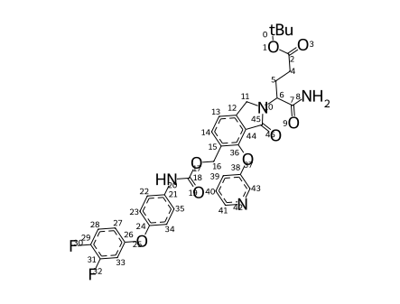 CC(C)(C)OC(=O)CCC(C(N)=O)N1Cc2ccc(COC(=O)Nc3ccc(Oc4ccc(F)c(F)c4)cc3)c(Oc3cccnc3)c2C1=O